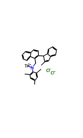 CC1=Cc2ccccc2C1c1ccc2ccccc2c1C[N]([Ti+2])c1c(C)cc(C)cc1C.[Cl-].[Cl-]